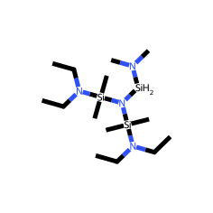 CCN(CC)[Si](C)(C)N([SiH2]N(C)C)[Si](C)(C)N(CC)CC